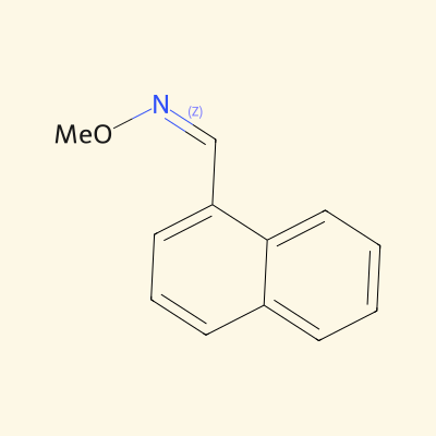 CO/N=C\c1cccc2ccccc12